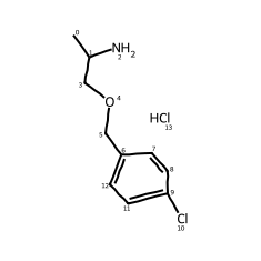 CC(N)COCc1ccc(Cl)cc1.Cl